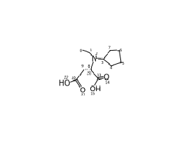 CCN(C1CCCC1)[C@@H](CC(=O)O)C(=O)O